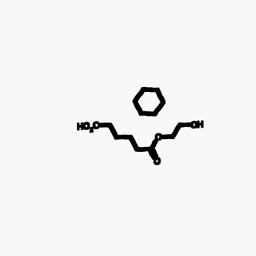 C1CCCCC1.O=C(O)CCCCC(=O)OCCO